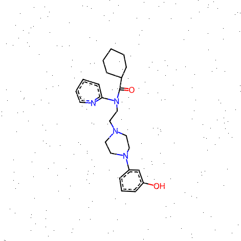 O=C(C1CCCCC1)N(CCN1CCN(c2cccc(O)c2)CC1)c1ccccn1